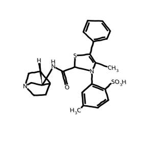 CC1=C(c2ccccc2)SC(C(=O)N[C@H]2CN3CCC2CC3)N1c1cc(C)ccc1S(=O)(=O)O